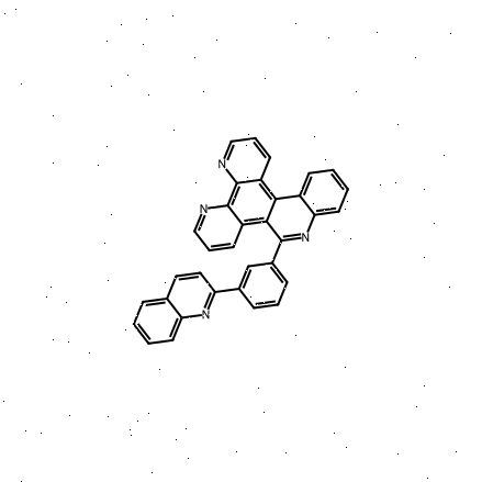 c1cc(-c2ccc3ccccc3n2)cc(-c2nc3ccccc3c3c4cccnc4c4ncccc4c23)c1